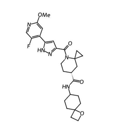 COc1cc(-c2cc(C(=O)N3CC[C@@H](C(=O)NC4CCC5(CCO5)CC4)CC34CC4)n[nH]2)c(F)cn1